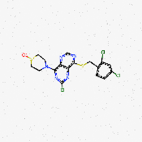 [O-][S+]1CCN(c2nc(Cl)nc3c(SCc4ccc(Cl)cc4Cl)ncnc23)CC1